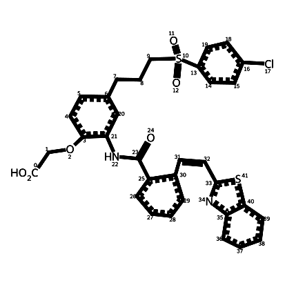 O=C(O)COc1ccc(CCCS(=O)(=O)c2ccc(Cl)cc2)cc1NC(=O)c1ccccc1C=Cc1nc2ccccc2s1